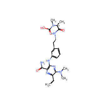 CCc1nc(C(N)=O)c(Nc2cccc(CCNC(=O)[C@H](C)N(C)C(=O)O)c2)nc1N(C)C